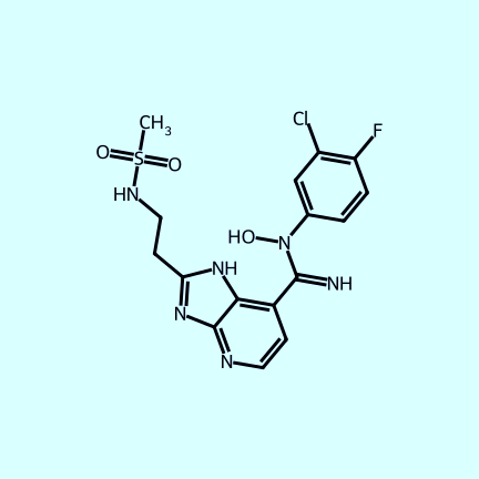 CS(=O)(=O)NCCc1nc2nccc(C(=N)N(O)c3ccc(F)c(Cl)c3)c2[nH]1